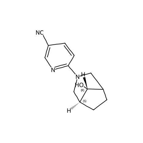 N#Cc1ccc(N2CC3CC[C@@H](C2)[C@@H]3O)nc1